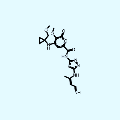 COCC1(Nc2cc(C(=O)Nc3nnc(N/C(C)=C\C=N)s3)oc(=O)c2OC)CC1